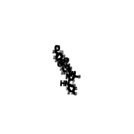 Cc1ccc(Nc2cc(C)nc(N3CCN(S(=O)(=O)c4ccc(C=O)cc4)CC3)n2)cc1